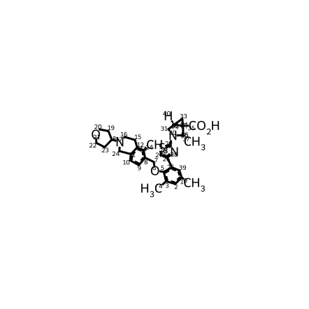 Cc1cc(C)c(OCc2ccc3c(c2C)CCN(C2CCOCC2)C3)c(-c2csc(N3C[C@@H]4C[C@]4(C(=O)O)[C@H]3C)n2)c1